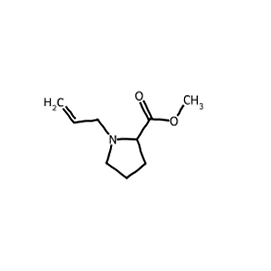 C=CCN1CCCC1C(=O)OC